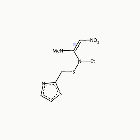 CCN(SCc1nccs1)/C(=C\[N+](=O)[O-])NC